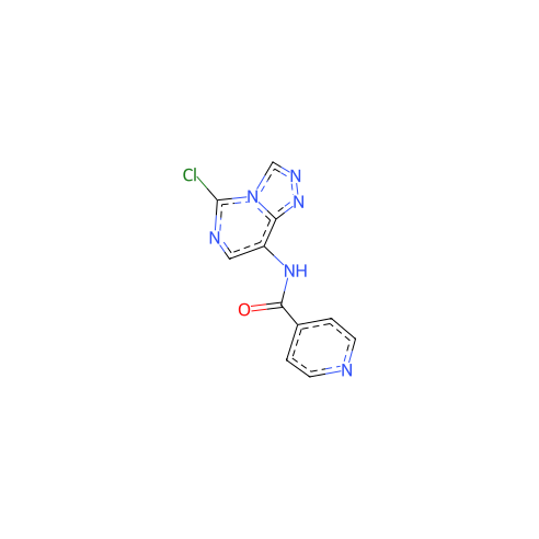 O=C(Nc1cnc(Cl)n2cnnc12)c1ccncc1